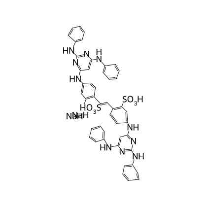 O=S(=O)(O)c1cc(Nc2cc(Nc3ccccc3)nc(Nc3ccccc3)n2)ccc1C=Cc1ccc(Nc2cc(Nc3ccccc3)nc(Nc3ccccc3)n2)cc1S(=O)(=O)O.[NaH].[NaH]